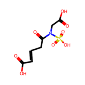 O=C(O)C=CCC(=O)N(CC(=O)O)S(=O)(=O)O